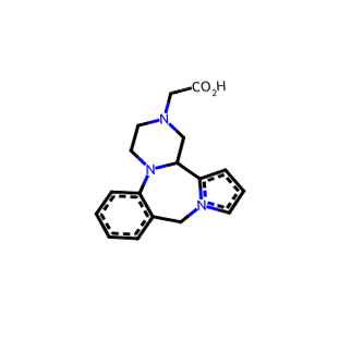 O=C(O)CN1CCN2c3ccccc3Cn3cccc3C2C1